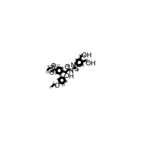 CCOc1ccc(OC(C(=O)Nc2nc3cc(CO)c(CO)cc3s2)c2ccc(S(=O)(=O)CC)cc2)cc1